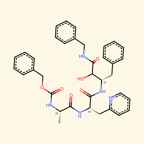 C[C@H](NC(=O)OCc1ccccc1)C(=O)N[C@@H](Cc1ccccn1)C(=O)N[C@@H](Cc1ccccc1)C(O)C(=O)NCc1ccccc1